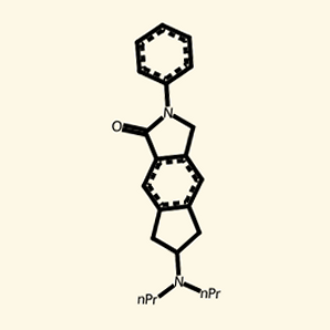 CCCN(CCC)C1Cc2cc3c(cc2C1)C(=O)N(c1ccccc1)C3